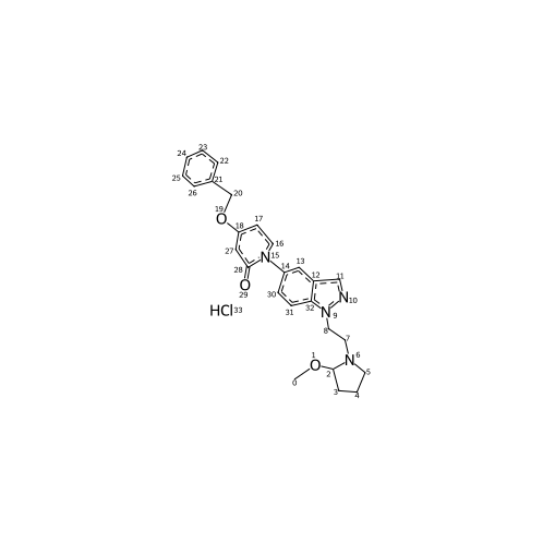 COC1CCCN1CCn1ncc2cc(-n3ccc(OCc4ccccc4)cc3=O)ccc21.Cl